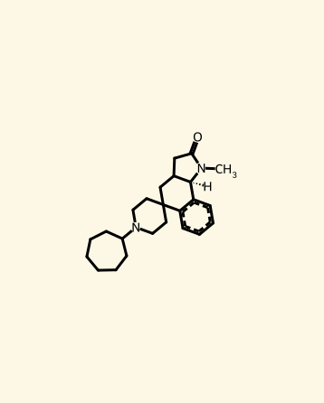 CN1C(=O)CC2CC3(CCN(C4CCCCCC4)CC3)c3ccccc3[C@@H]21